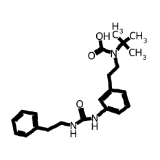 CC(C)(C)N(CCc1cccc(NC(=O)NCCc2ccccc2)c1)C(=O)O